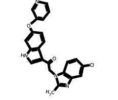 Cc1nc2cc(Cl)ccc2n1CC(=O)c1c[nH]c2cc(Oc3cccnc3)ccc12